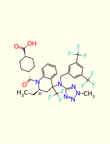 CC[C@@H]1CC(N(Cc2cc(C(F)(F)F)cc(C(F)(F)F)c2)c2nnn(C)n2)(C(F)(F)F)c2ccccc2N1C(=O)[C@H]1CC[C@H](C(=O)O)CC1